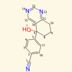 N#Cc1ccc(C2(O)CCCc3ncncc32)cc1